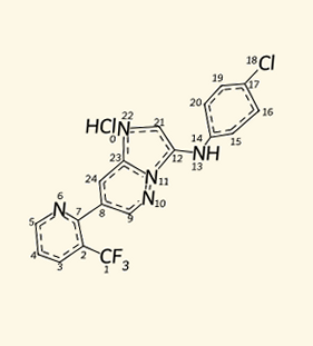 Cl.FC(F)(F)c1cccnc1-c1cnn2c(Nc3ccc(Cl)cc3)cnc2c1